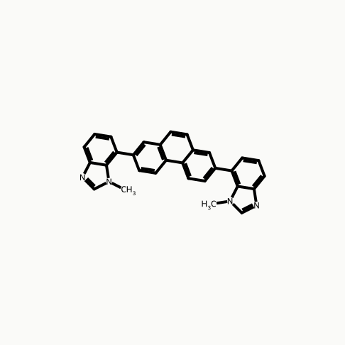 Cn1cnc2cccc(-c3ccc4c(ccc5cc(-c6cccc7ncn(C)c67)ccc54)c3)c21